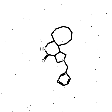 O=C1NCC2CCCCCCCC2C2CN(Cc3ccccc3)CC12